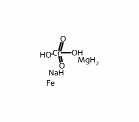 [Fe].[MgH2].[NaH].[O]=[Cr](=[O])([OH])[OH]